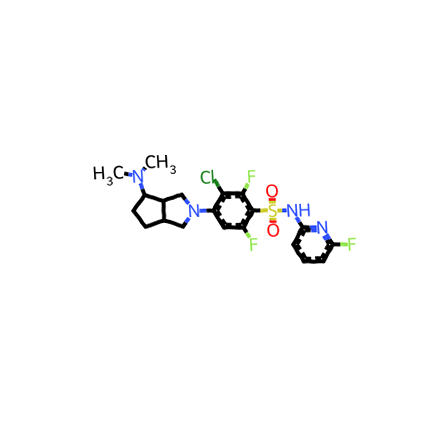 CN(C)C1CCC2CN(c3cc(F)c(S(=O)(=O)Nc4cccc(F)n4)c(F)c3Cl)CC21